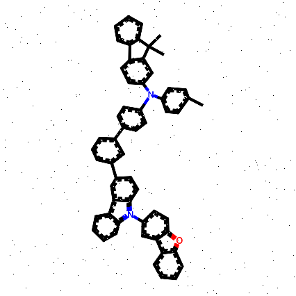 Cc1ccc(N(c2ccc(-c3cccc(-c4ccc5c(c4)c4ccccc4n5-c4ccc5oc6ccccc6c5c4)c3)cc2)c2ccc3c(c2)C(C)(C)c2ccccc2-3)cc1